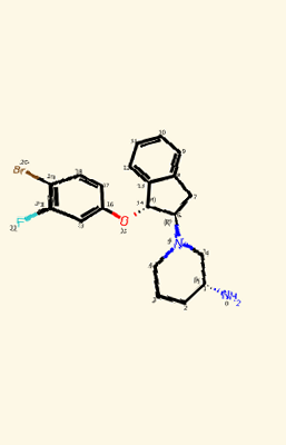 N[C@@H]1CCCN([C@@H]2Cc3ccccc3[C@H]2Oc2ccc(Br)c(F)c2)C1